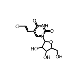 O=c1[nH]c(=O)n(C2OC(CO)C(O)C2O)cc1/C=C/Cl